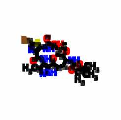 CO[C@H]1CO[C@H](c2[nH]nc(C)c2NC(=O)c2nc(Br)sc2NC(=O)O)CC[C@H]1NC(=O)OC(C)(C)C